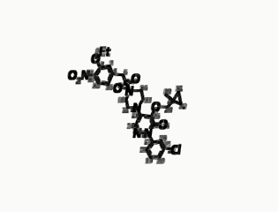 CCOc1cc(CS(=O)(=O)N2CCN(c3cnn(-c4cccc(Cl)c4)c(=O)c3OCC3(C)CC3)CC2)ccc1[N+](=O)[O-]